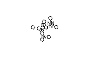 c1ccc(-c2ccc3c(c2)c2cc4c5ccccc5n(-c5ccccc5)c4cc2n3-c2ccc(-c3nc(-c4ccccc4)nc(-c4ccccc4)n3)c3c2oc2ccccc23)cc1